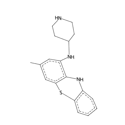 Cc1cc(NC2CCNCC2)c2c(c1)Sc1ccccc1N2